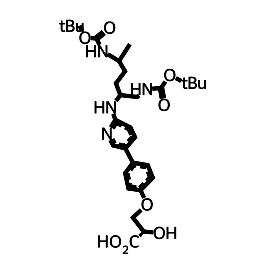 CC(CCC(CNC(=O)OC(C)(C)C)Nc1ccc(-c2ccc(OC[C@@H](O)C(=O)O)cc2)cn1)NC(=O)OC(C)(C)C